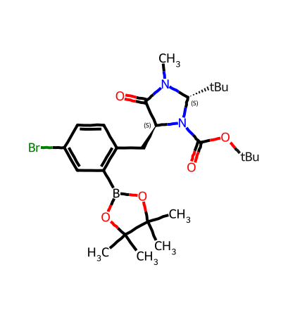 CN1C(=O)[C@H](Cc2ccc(Br)cc2B2OC(C)(C)C(C)(C)O2)N(C(=O)OC(C)(C)C)[C@H]1C(C)(C)C